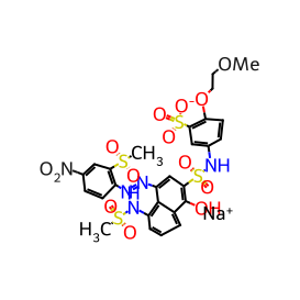 COCCOc1ccc(NS(=O)(=O)c2cc(N=Nc3ccc([N+](=O)[O-])cc3S(C)(=O)=O)c3c(NS(C)(=O)=O)cccc3c2O)cc1S(=O)(=O)[O-].[Na+]